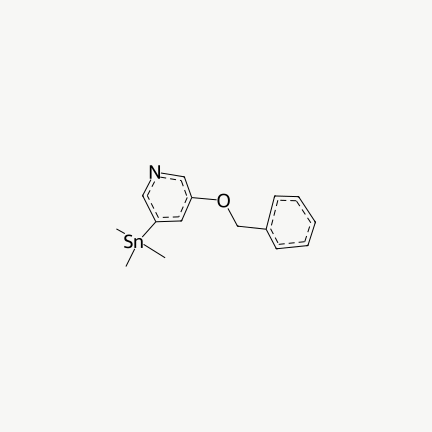 [CH3][Sn]([CH3])([CH3])[c]1cncc(OCc2ccccc2)c1